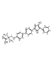 CC(C)(COc1ccc(-c2ccc(-c3nc(Cl)c(-c4ccccc4)[nH]3)cn2)cn1)C(=O)O